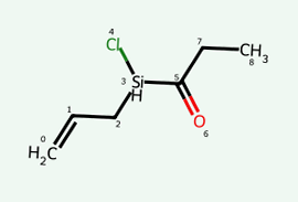 C=CC[SiH](Cl)C(=O)CC